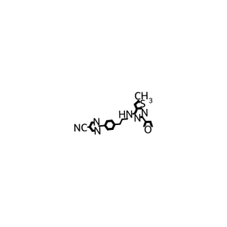 Cc1cc2c(NCCCc3ccc(-c4ncc(C#N)cn4)cc3)nc(-c3ccoc3)nc2s1